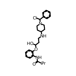 CC(C)C(=O)Nc1ccccc1OC(O)CCNC1CCN(C(Cl)c2ccccc2)CC1